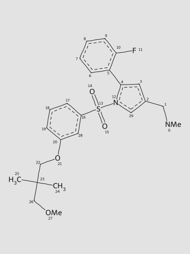 CNCc1cc(-c2ccccc2F)n(S(=O)(=O)c2cccc(OCC(C)(C)COC)c2)c1